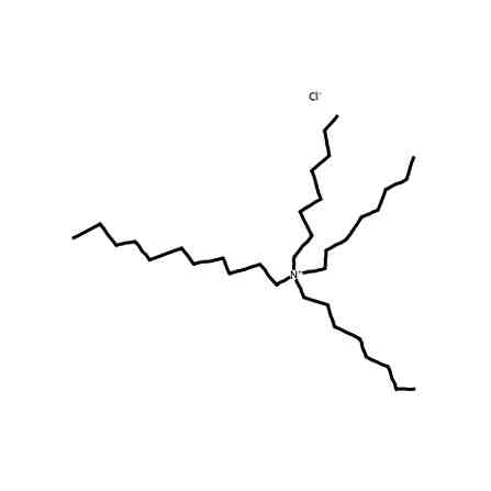 CCCCCCCCCCC[N+](CCCCCCCC)(CCCCCCCC)CCCCCCCC.[Cl-]